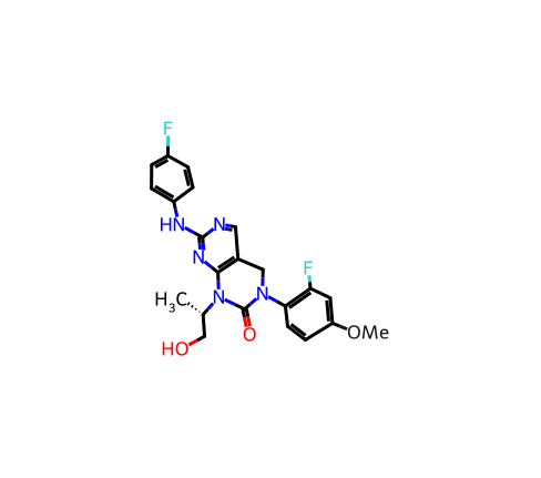 COc1ccc(N2Cc3cnc(Nc4ccc(F)cc4)nc3N([C@@H](C)CO)C2=O)c(F)c1